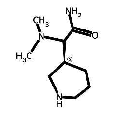 CN(C)C(C(N)=O)[C@H]1CCCNC1